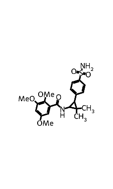 COc1cc(OC)c(OC)c(C(=O)NC2C(c3ccc(S(N)(=O)=O)cc3)C2(C)C)c1